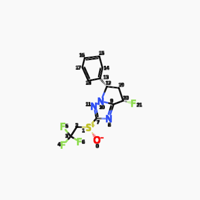 [O-][S@+](CC(F)(F)F)c1nc2n(n1)[C@H](c1ccccc1)C[C@@H]2F